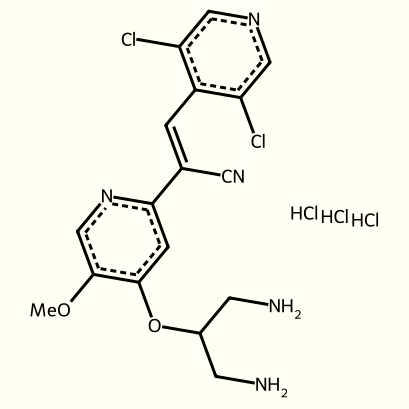 COc1cnc(/C(C#N)=C/c2c(Cl)cncc2Cl)cc1OC(CN)CN.Cl.Cl.Cl